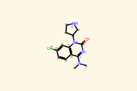 CN(C)c1nc(=O)n(C2CCNC2)c2cc(Cl)ccc12